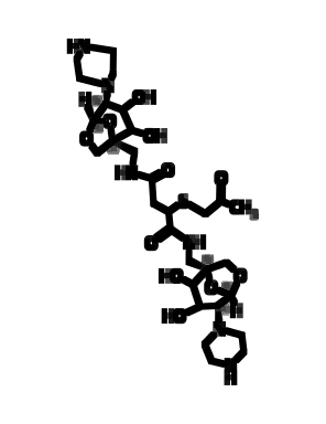 CC(=O)CSC(CC(=O)NC[C@@]12CO[C@@H](O1)[C@@H](N1CCNCC1)C(O)C2O)C(=O)NC[C@@]12CO[C@@H](O1)[C@@H](N1CCNCC1)C(O)C2O